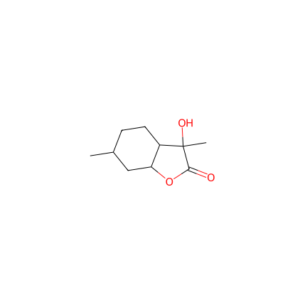 CC1CCC2C(C1)OC(=O)C2(C)O